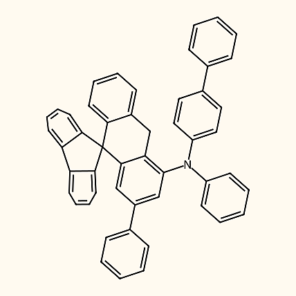 c1ccc(-c2ccc(N(c3ccccc3)c3cc(-c4ccccc4)cc4c3Cc3ccccc3C43c4ccccc4-c4ccccc43)cc2)cc1